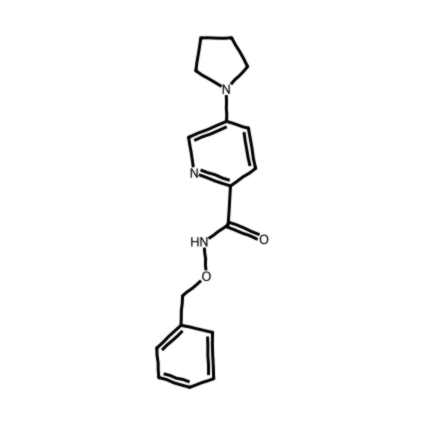 O=C(NOCc1ccccc1)c1ccc(N2CCCC2)cn1